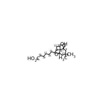 CC1(C)CC(=O)C2(C(=O)C1)C(O)CC2CCCCCCC(=O)O